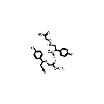 COC(=O)CSC(CC#N)c1ccc(Cl)cc1.O=C(O)CONCC(c1ccc(F)cc1)[N+](=O)[O-]